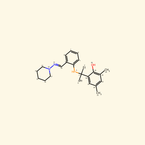 CCCC(CC)(Pc1ccccc1/C=N/N1CCCCC1)c1cc(C)cc(C)c1O